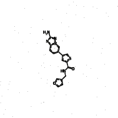 Nc1nc2ccc(-c3csc(C(=O)NCc4ccoc4)c3)cn2n1